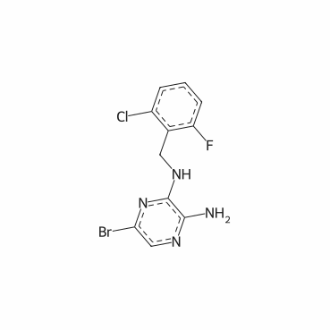 Nc1ncc(Br)nc1NCc1c(F)cccc1Cl